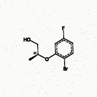 C[C@@H](CO)Oc1cc(F)ccc1Br